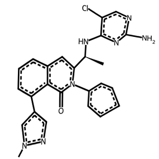 C[C@H](Nc1nc(N)ncc1Cl)c1cc2cccc(-c3cnn(C)c3)c2c(=O)n1-c1ccccc1